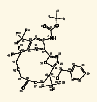 CC(C)(C)OC(=O)Nc1cc(C(F)(F)F)c2nc1-c1nnc(o1)[C@@](OCc1ccccc1)(C(F)(F)F)CCC(=O)CCCC2(F)F